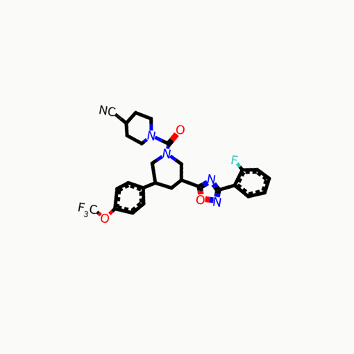 N#CC1CCN(C(=O)N2CC(c3ccc(OC(F)(F)F)cc3)CC(c3nc(-c4ccccc4F)no3)C2)CC1